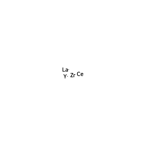 [Ce].[La].[Y].[Zr]